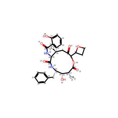 C[C@H]1CC(=O)C(C2CCO2)OC(=O)[C@H](C)[C@H](O)[C@H](Cc2ccccc2)NC(=O)[C@H]1NC(=O)c1ccccc1O